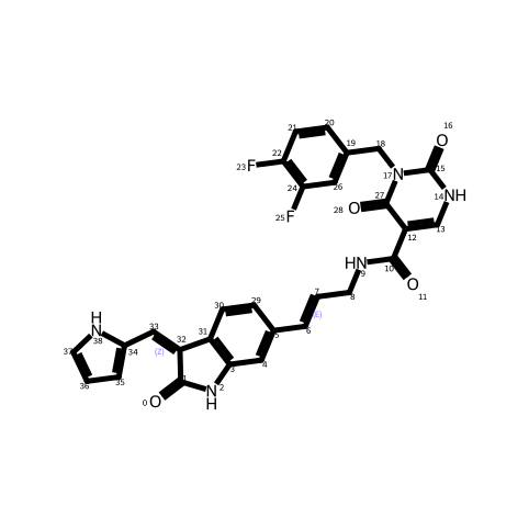 O=C1Nc2cc(/C=C/CNC(=O)c3c[nH]c(=O)n(Cc4ccc(F)c(F)c4)c3=O)ccc2/C1=C/c1ccc[nH]1